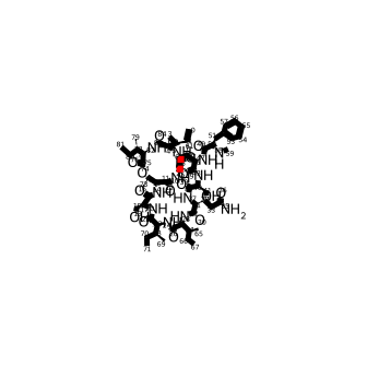 C=C[C@@H]1C[C@@]12NC(=O)[C@H](C)NC(=O)[C@H](NC(=O)[C@H](CO)NC(=O)[C@@H](NC(=O)[C@H](NC(=O)[C@@H](CCC(N)=O)NC(=O)[C@H](CO)NC(=O)[C@@H](NC(=O)[C@@H](Cc1ccccc1)NC)[C@@H](C)CC)[C@@H](C)CC)[C@@H](C)CC)[C@H](C)OC(=O)[C@H]([C@@H](C)CC)NC2=O